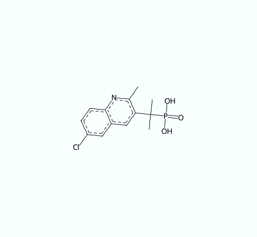 Cc1nc2ccc(Cl)cc2cc1C(C)(C)P(=O)(O)O